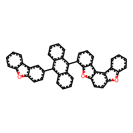 c1ccc2c(c1)oc1ccc(-c3c4ccccc4c(-c4cccc5c4oc4ccc6oc7ccccc7c6c45)c4ccccc34)cc12